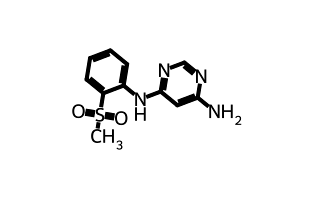 CS(=O)(=O)c1ccccc1Nc1cc(N)ncn1